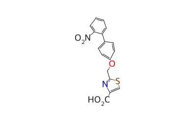 O=C(O)c1csc(COc2ccc(-c3ccccc3[N+](=O)[O-])cc2)n1